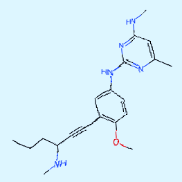 CCCC(C#Cc1cc(Nc2nc(C)cc(NC)n2)ccc1OC)NC